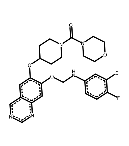 O=C(N1CCOCC1)N1CCC(Oc2cc3cncnc3cc2OCNc2ccc(F)c(Cl)c2)CC1